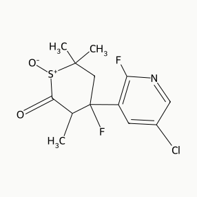 CC1C(=O)[S+]([O-])C(C)(C)CC1(F)c1cc(Cl)cnc1F